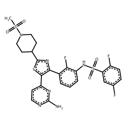 CS(=O)(=O)N1CCC(c2nc(-c3cccc(NS(=O)(=O)c4cc(F)ccc4F)c3F)c(-c3ccnc(N)n3)s2)CC1